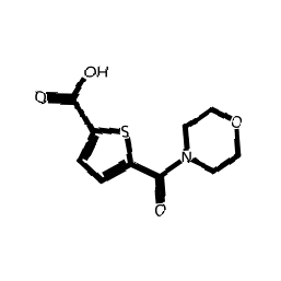 O=C(O)c1ccc(C(=O)N2CCOCC2)s1